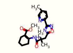 COC(=O)C1=C(NC(=O)C(C)(C)Cc2nc(-c3ccc(C)cn3)no2)CCCC1